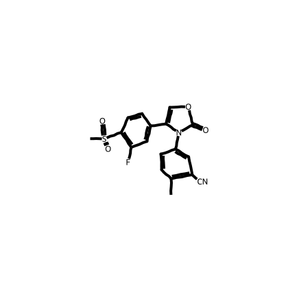 Cc1ccc(-n2c(-c3ccc(S(C)(=O)=O)c(F)c3)coc2=O)cc1C#N